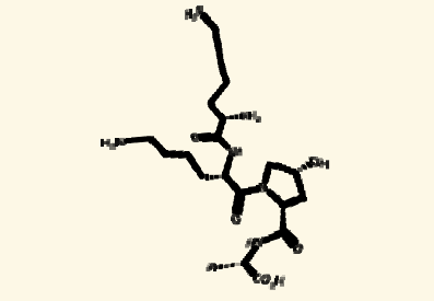 CC(C)[C@H](NC(=O)[C@@H]1C[C@@H](O)CN1C(=O)[C@H](CCCCN)NC(=O)[C@@H](N)CCCCN)C(=O)O